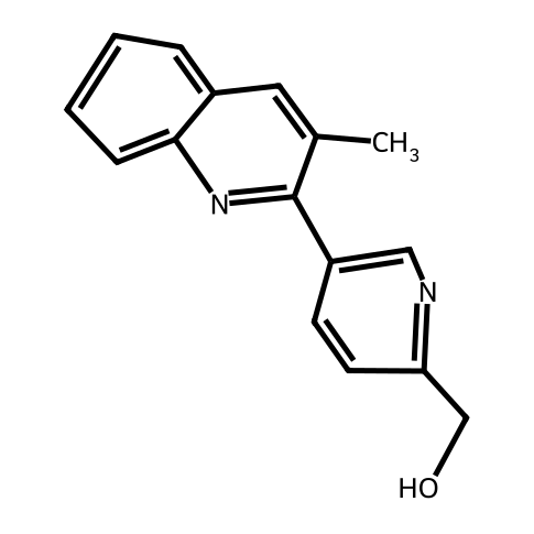 Cc1cc2ccccc2nc1-c1ccc(CO)nc1